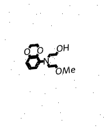 COCCN(CCO)c1cccc2c1OCCO2